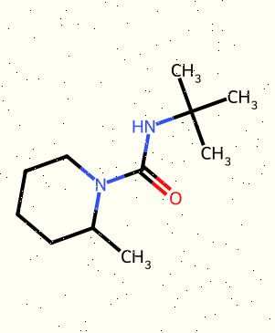 CC1CCCCN1C(=O)NC(C)(C)C